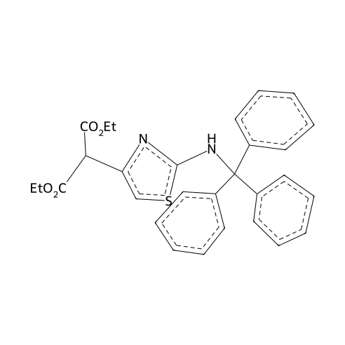 CCOC(=O)C(C(=O)OCC)c1csc(NC(c2ccccc2)(c2ccccc2)c2ccccc2)n1